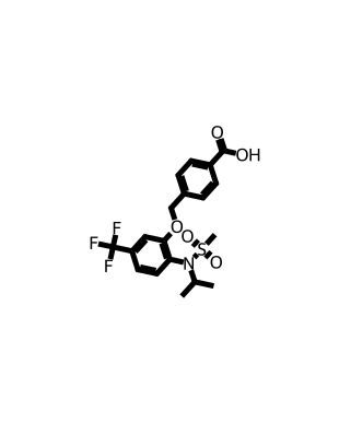 CC(C)N(c1ccc(C(F)(F)F)cc1OCc1ccc(C(=O)O)cc1)S(C)(=O)=O